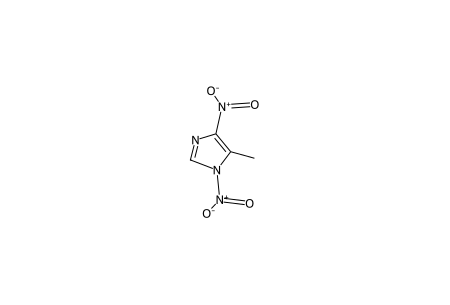 Cc1c([N+](=O)[O-])ncn1[N+](=O)[O-]